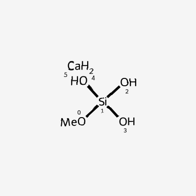 CO[Si](O)(O)O.[CaH2]